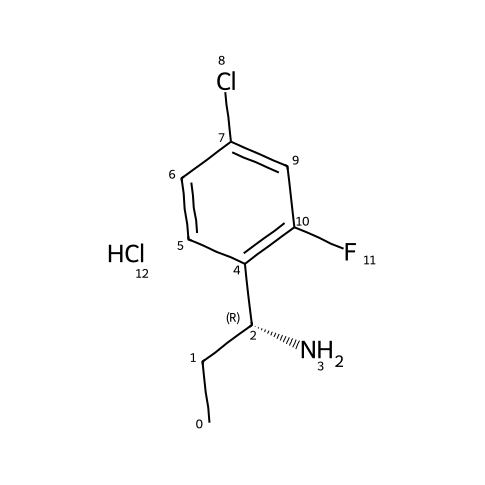 CC[C@@H](N)c1ccc(Cl)cc1F.Cl